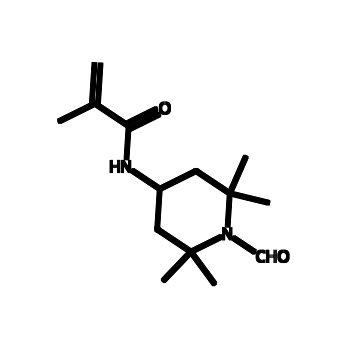 C=C(C)C(=O)NC1CC(C)(C)N(C=O)C(C)(C)C1